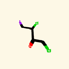 O=C(CCl)C(Cl)CI